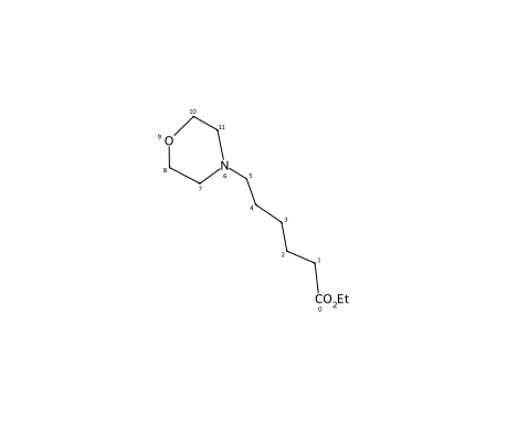 CCOC(=O)CCCCCN1CCOCC1